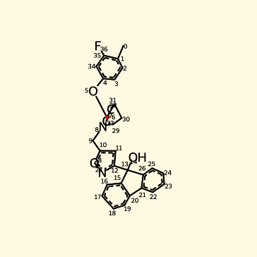 Cc1ccc(OC2C[N+]3(Cc4cc(C5(O)c6ccccc6-c6ccccc65)no4)CCC2CC3)cc1F